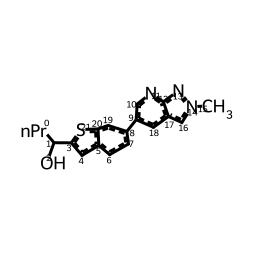 CCCC(O)c1cc2ccc(-c3cnc4nn(C)cc4c3)cc2s1